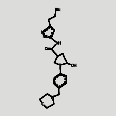 CCC(C)CCc1nnc(NC(=O)C2CC(O)N(c3ccc(CN4CCCCC4)cc3)C2)s1